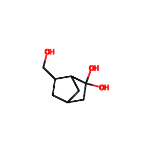 OCC1CC2CC1C(O)(O)C2